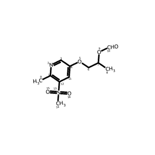 Cc1ncc(OCC(C)OC=O)cc1S(C)(=O)=O